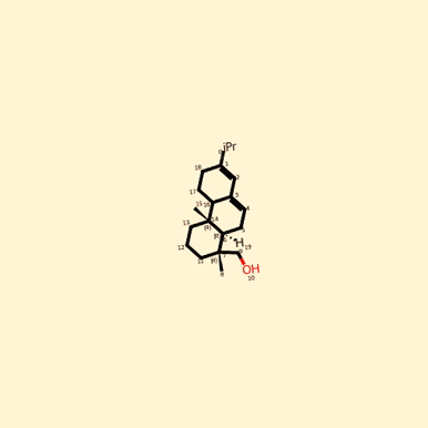 CC(C)C1=CC2=CC[C@H]3[C@](C)(CO)CCC[C@]3(C)C2CC1